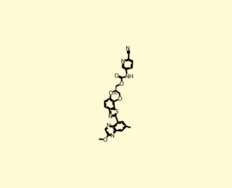 COc1cnc2c(-c3nc4ccc5c(c4s3)OC[C@H](COC(=O)Nc3ccc(C#N)nc3)O5)cc(C)cc2n1